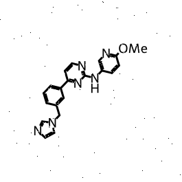 COc1ccc(Nc2nccc(-c3cccc(Cn4ccnc4)c3)n2)cn1